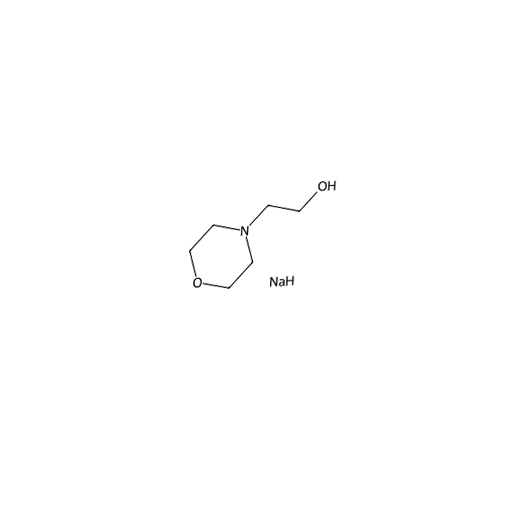 OCCN1CCOCC1.[NaH]